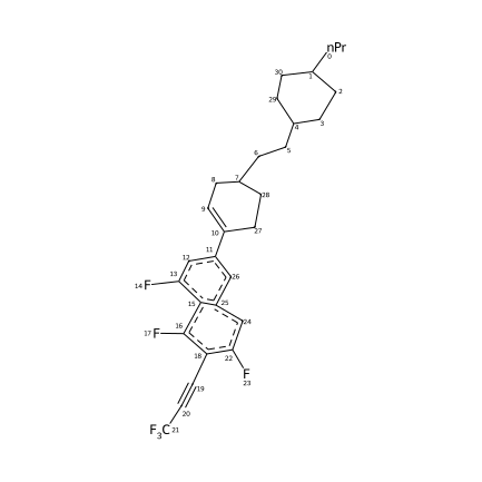 CCCC1CCC(CCC2CC=C(c3cc(F)c4c(F)c(C#CC(F)(F)F)c(F)cc4c3)CC2)CC1